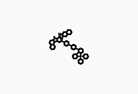 c1ccc(C2(c3ccccc3)c3ccccc3-c3c(-c4ccc(-c5ccc(-c6cc7c(sc8ccc9ccccc9c87)c7nc8cc9ccccc9cc8n67)cc5)cc4)cccc32)cc1